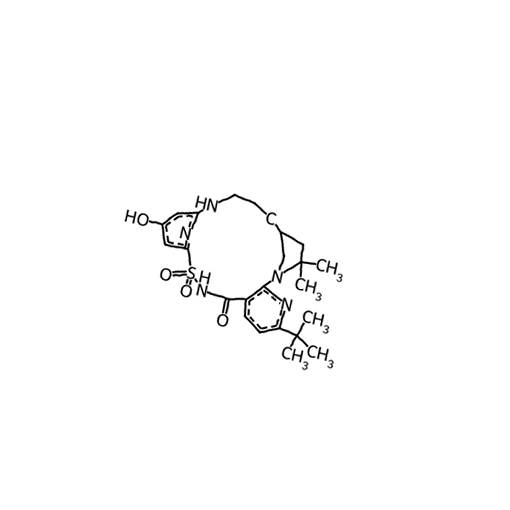 CC(C)(C)c1ccc2c(n1)N1CC(CCCNc3cc(O)cc(n3)S(=O)(=O)NC2=O)CC1(C)C